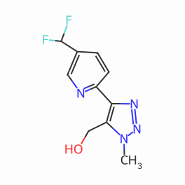 Cn1nnc(-c2ccc(C(F)F)cn2)c1CO